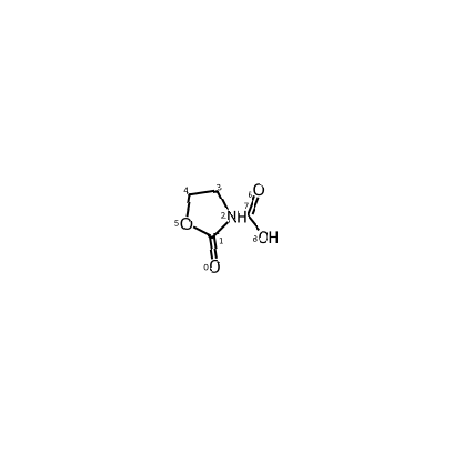 O=C1NCCO1.O=CO